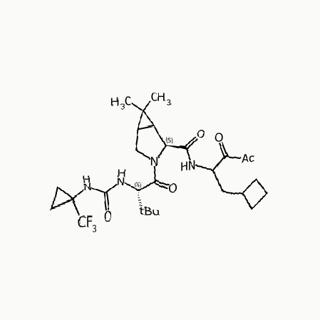 CC(=O)C(=O)C(CC1CCC1)NC(=O)[C@@H]1C2C(CN1C(=O)[C@@H](NC(=O)NC1(C(F)(F)F)CC1)C(C)(C)C)C2(C)C